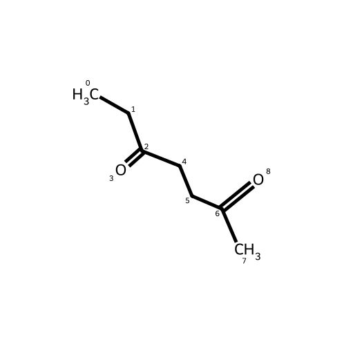 CCC(=O)CCC(C)=O